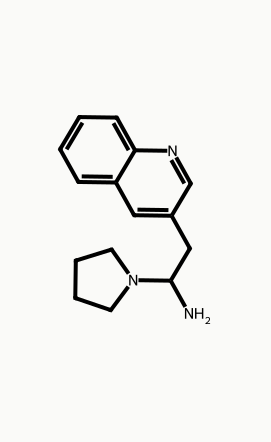 NC(Cc1cnc2ccccc2c1)N1CCCC1